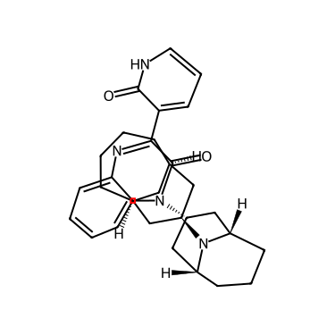 O=c1[nH]cccc1-c1nc2ccccc2n([C@H]2C[C@H]3CCC[C@@H](C2)N3[C@@H]2C[C@@H]3CCCC[C@@H](C3)C2)c1=O